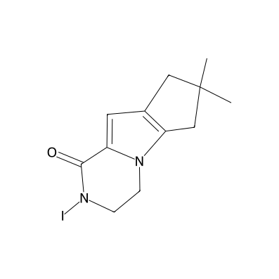 CC1(C)Cc2cc3n(c2C1)CCN(I)C3=O